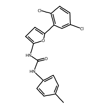 Cc1ccc(NC(=O)Nc2ccc(-c3cc(Cl)ccc3Cl)o2)cc1